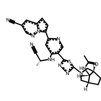 CC(=O)N[C@H]1[C@@H]2CC[C@H]1CN(c1nnc(-c3cnc(-c4ccc5cc(C#N)cnn45)cc3N[C@H](C)C#N)s1)C2